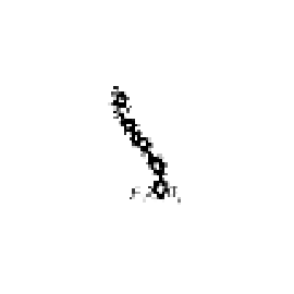 Fc1ccc2nc(-c3ccc(-c4ccc5cc(C6=CC=CC(C7=CC(C(F)(F)F)=CCC(C(F)(F)F)=C7)C=C6)ccc5c4)cc3)sc2c1